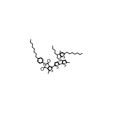 CCCCCCCCc1ccc(N2C(=O)c3c(C)sc(-c4cc5c(s4)-c4sc(C)cc4[Si]5(CC(CC)CCCC)c4ccc(CCCCCCC)s4)c3C2=O)cc1